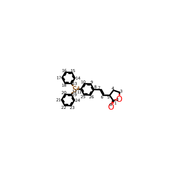 O=C1OCCC1/C=C/c1ccc([S+](c2ccccc2)c2ccccc2)cc1